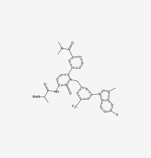 CNC(C)C(=O)Nc1ccc(-c2cccc(C(=O)N(C)C)c2)n(Cc2cc(-n3cc(C)c4cc(F)ccc43)cc(C(F)(F)F)c2)c1=O